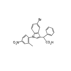 Cc1cc([N+](=O)[O-])ccc1-n1cc(C(C(=O)O)c2ccccc2)c2cc(Br)ccc21